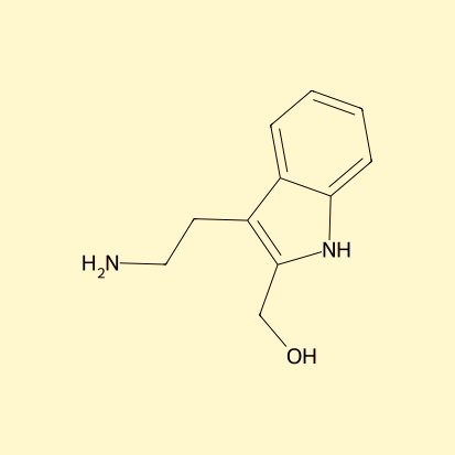 NCCc1c(CO)[nH]c2ccccc12